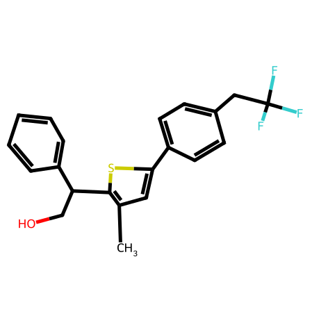 Cc1cc(-c2ccc(CC(F)(F)F)cc2)sc1C(CO)c1ccccc1